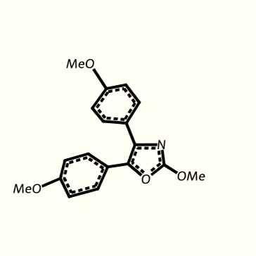 COc1ccc(-c2nc(OC)oc2-c2ccc(OC)cc2)cc1